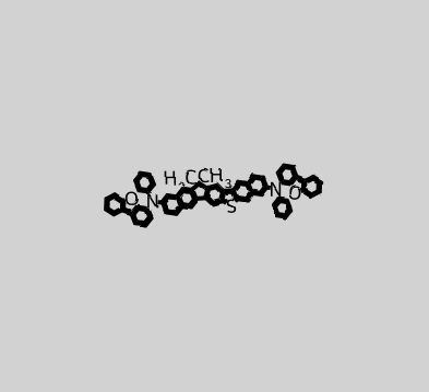 CC1(C)c2cc3cc(N(c4ccccc4)c4cccc5c4oc4ccccc45)ccc3cc2-c2cc3sc4cc5cc(N(c6ccccc6)c6cccc7c6oc6ccccc67)ccc5cc4c3cc21